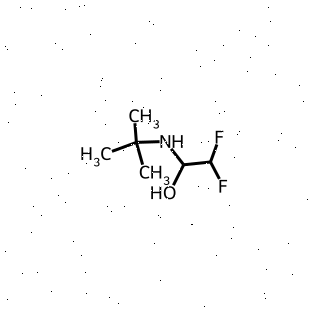 CC(C)(C)NC(O)C(F)F